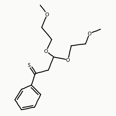 COCCOC(CC(=S)c1ccccc1)OCCOC